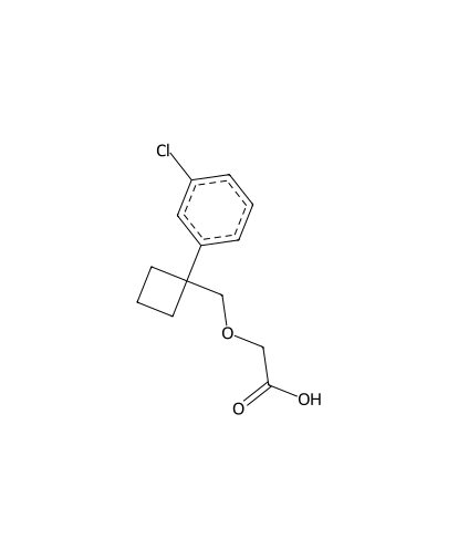 O=C(O)COCC1(c2cccc(Cl)c2)CCC1